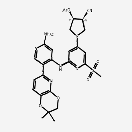 CO[C@@H]1CN(c2cc(Nc3cc(NC(C)=O)ncc3-c3ccc4c(n3)OCC(C)(C)O4)nc(S(C)(=O)=O)c2)C[C@@H]1C#N